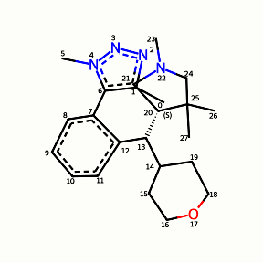 Cc1nnn(C)c1-c1ccccc1C(C1CCOCC1)[C@@H]1CN(C)CC1(C)C